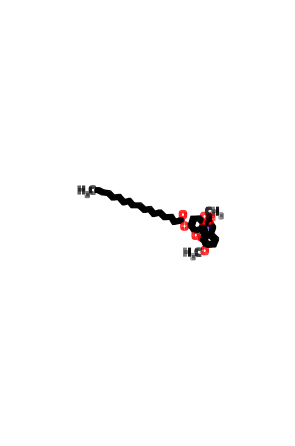 CCCCCCCCCCCCCCCCCC(=O)OC1=CCC2(O)C3Cc4ccc(OC)c5c4C2(CCN3C)C1O5